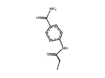 CCC(=O)Nc1ccc(C(=N)N)cc1